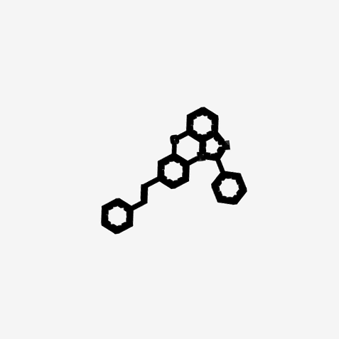 C(=C\c1ccc2c(c1)Oc1cccc3nc(-c4ccccc4)n-2c13)/c1ccccc1